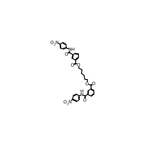 O=C(Nc1ccc([N+](=O)[O-])cc1)c1cccc(C(=O)OCCCCCCOC(=O)c2cccc(C(=O)Nc3ccc([N+](=O)[O-])cc3)c2)c1